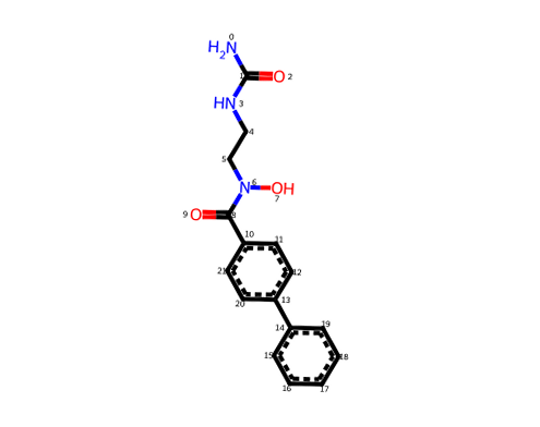 NC(=O)NCCN(O)C(=O)c1ccc(-c2ccccc2)cc1